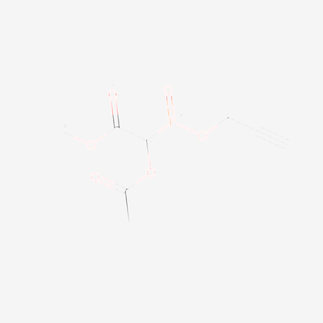 C#CCO[PH](=O)C(OC(C)=O)C(=O)OC